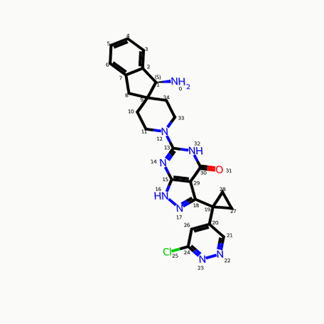 N[C@@H]1c2ccccc2CC12CCN(c1nc3[nH]nc(C4(c5cnnc(Cl)c5)CC4)c3c(=O)[nH]1)CC2